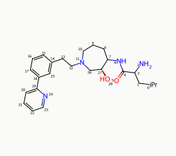 CC(C)CC(N)C(=O)NC1CCCN(CCc2cccc(-c3ccccn3)c2)C[C@@H]1O